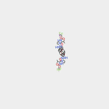 CC(C)[C@H](NC(=O)OCC(F)(F)F)C(=O)N1CCC[C@H]1c1nc2cc(-c3cc4ccc3CCc3ccc(c(-c5ccc6[nH]c([C@@H]7CCCN7C(=O)[C@@H](NC(=O)OCC(F)(F)I)C(C)C)nc6c5)c3)C[C@H]4C)ccc2[nH]1